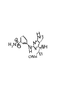 CC[C@H](COC)C(=N)c1nc(Nc2cccc(S(N)(=O)=O)c2)nc2[nH]ccc12